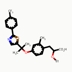 CCOC(Cc1ccc(OC(C)(C)c2cnc(-c3ccc(C(F)(F)F)cc3)s2)cc1C)C(=O)O